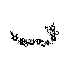 Cc1cc(OC2C(C)(C)C(NC(=O)c3ccc(N4CCC(CN(C(C)C)C5CC(Oc6ccc7c(c6)C(=O)N([C@@H]6CCC(=O)NC6=O)C7=O)C5)CC4)nn3)C2(C)C)cc(C)c1C#N